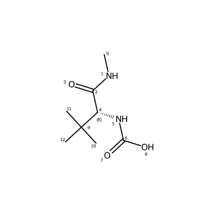 CNC(=O)[C@H](NC(=O)O)C(C)(C)C